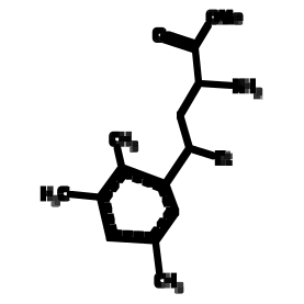 CCC(CC(N)C(=O)OC)c1cc(C)cc(C)c1C